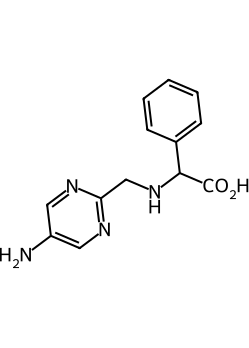 Nc1cnc(CNC(C(=O)O)c2ccccc2)nc1